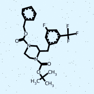 CC(C)(C)OC(=O)N1CCN(C(=O)OCc2ccccc2)CC1Cc1cc(F)cc(C(F)(F)F)c1